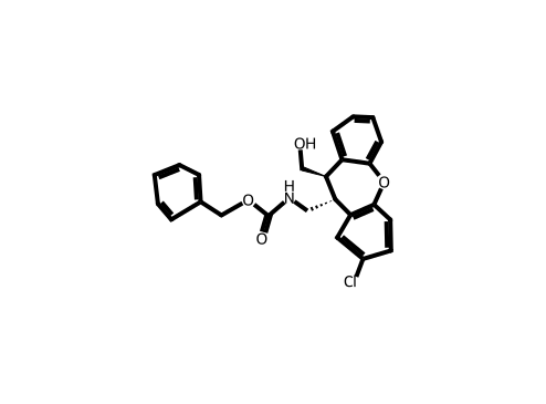 O=C(NC[C@H]1c2cc(Cl)ccc2Oc2ccccc2[C@@H]1CO)OCc1ccccc1